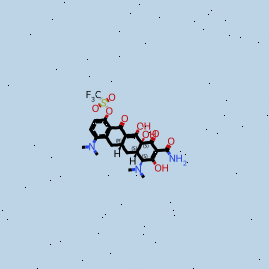 CN(C)c1ccc(OS(=O)(=O)C(F)(F)F)c2c1C[C@H]1C[C@H]3[C@H](N(C)C)C(O)=C(C(N)=O)C(=O)[C@@]3(O)C(O)=C1C2=O